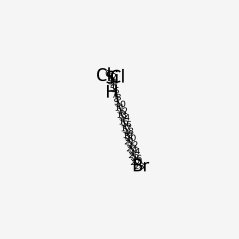 Cl[SiH](Cl)CCCCCCCCCCCCCCCCCCCCCCCCCBr